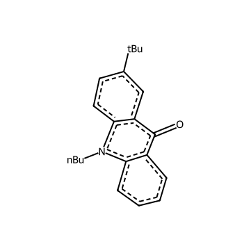 CCCCn1c2ccccc2c(=O)c2cc(C(C)(C)C)ccc21